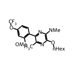 CCCCCCOc1nc(C)c(-c2ccc(OC(F)(F)F)cc2OC)nc1NC